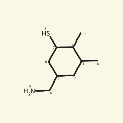 CC1CC(CN)CC(S)C1C